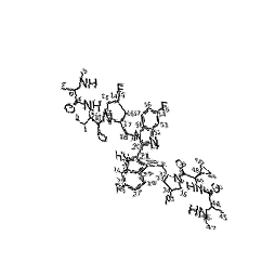 CCC(NC(=O)C(C)NC)C(=O)N1CC(F)CC1Cn1c(-c2[nH]c3cc(F)ccc3c2CC2CC(F)CN2C(=O)C(NC(=O)C(C)NC)C2CC2)nc2cc(F)ccc21